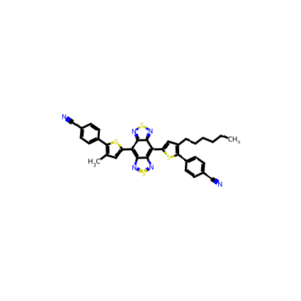 CCCCCCc1cc(-c2c3c(c(-c4cc(C)c(-c5ccc(C#N)cc5)s4)c4nsnc24)N=S=N3)sc1-c1ccc(C#N)cc1